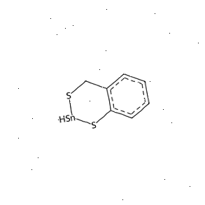 c1ccc2c(c1)C[S][SnH][S]2